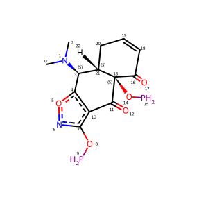 CN(C)[C@@H]1c2onc(OP)c2C(=O)[C@@]2(OP)C(=O)C=CC[C@@H]12